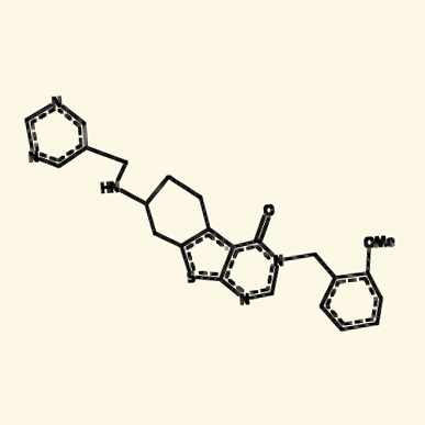 COc1ccccc1Cn1cnc2sc3c(c2c1=O)CCC(NCc1cncnc1)C3